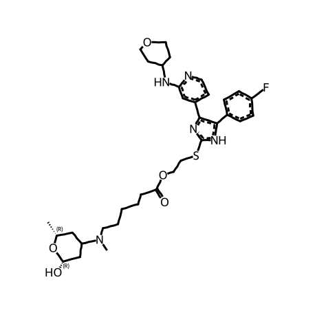 C[C@@H]1CC(N(C)CCCCCC(=O)OCCSc2nc(-c3ccnc(NC4CCOCC4)c3)c(-c3ccc(F)cc3)[nH]2)C[C@H](O)O1